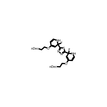 CCCCCCCCCCCCOC1=CC(F)(c2nnc(C3(F)C=C(OCCCCCCCCCCCC)C=CN3)s2)NC=C1